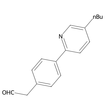 CCCCc1ccc(-c2ccc(CC=O)cc2)nc1